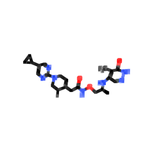 CC1CN(c2ncc(C3CC3)cn2)CC=C1CC(=O)NOC[C@H](C)Nc1cn[nH]c(=O)c1C(F)(F)F